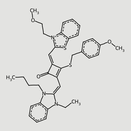 CCCCN1/C(=C\C2=C(SCc3ccc(OC)cc3)C(=C\c3sc4ccccc4[n+]3CCOC)/C2=O)N(CC)c2ccccc21